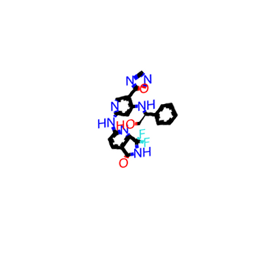 O=C1NC(F)(F)c2nc(Nc3cc(N[C@H](CO)c4ccccc4)c(-c4ncno4)cn3)ccc21